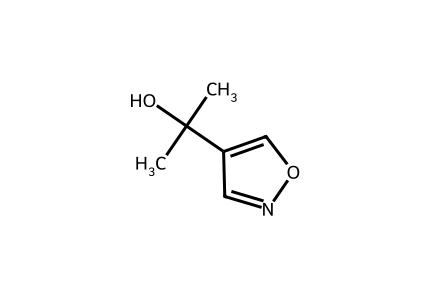 CC(C)(O)c1cnoc1